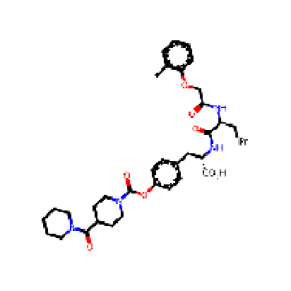 Cc1ccccc1OCC(=O)N[C@@H](CC(C)C)C(=O)N[C@@H](Cc1ccc(OC(=O)N2CCC(C(=O)N3CCCCC3)CC2)cc1)C(=O)O